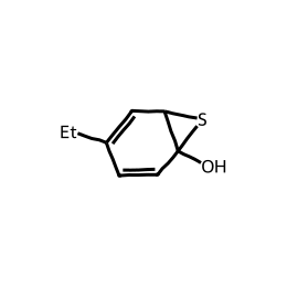 CCC1=CC2SC2(O)C=C1